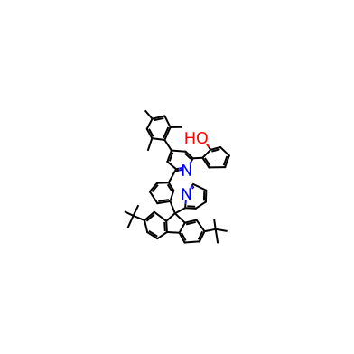 Cc1cc(C)c(-c2cc(-c3cccc(C4(c5ccccn5)c5cc(C(C)(C)C)ccc5-c5ccc(C(C)(C)C)cc54)c3)nc(-c3ccccc3O)c2)c(C)c1